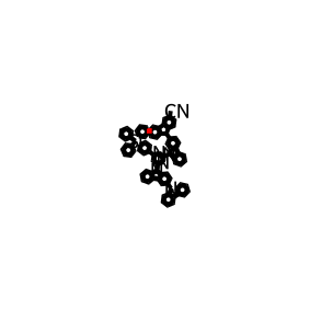 N#Cc1ccc2c(c1)-c1ccccc1C2c1ccc2c3ccccc3n(-c3nc(-c4ccc([Si](c5ccccc5)(c5ccccc5)c5ccccc5)cc4)cc(-n4c5ccccc5c5cc(-n6c7ccccc7c7ccccc76)ccc54)n3)c2c1